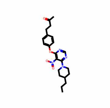 CCCC1CCN(c2ncnc(Oc3ccc(CCC(C)=O)cc3)c2[N+](=O)[O-])CC1